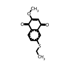 CCSc1ccc2c(c1)C(=O)C=C(OC)C2=O